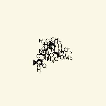 CO[C@H](C)[C@H](NC(=O)C(F)(F)F)C(=O)N1C[C@H]2[C@@H]([C@H]1C(=O)N[C@@H](C[C@@H]1CC3(CC3)NC1=O)C(N)=O)C2(C)C